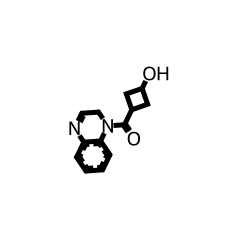 O=C(C1CC(O)C1)N1CC=Nc2ccccc21